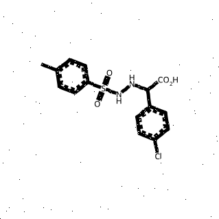 Cc1ccc(S(=O)(=O)NNC(C(=O)O)c2ccc(Cl)cc2)cc1